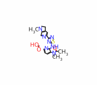 CC(=O)N(C)c1cccnc1Nc1nc(-c2cc3c(cn2)N(C)CC3)ns1.O=CO